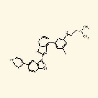 CN(C)CCNc1cc(F)cc(-c2ccnc3[nH]c(-c4n[nH]c5cnc(C6=CCNCC6)cc45)nc23)c1